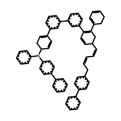 C1=CCCC(C2=C(c3cccc(-c4cccc(C5=CCC(N(c6ccccc6)c6ccc(-c7ccccc7)cc6)C=C5)c4)c3)C=CC(/C=C\C=C/Cc3ccc(-c4ccccc4)cc3)C2)=C1